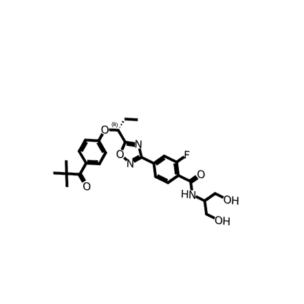 CC[C@@H](Oc1ccc(C(=O)C(C)(C)C)cc1)c1nc(-c2ccc(C(=O)NC(CO)CO)c(F)c2)no1